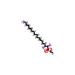 CCOC(=O)C(I)C(I)CCCCCCCCCCCCCCCI